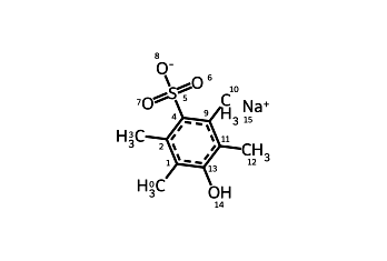 Cc1c(C)c(S(=O)(=O)[O-])c(C)c(C)c1O.[Na+]